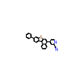 N#Cc1cc(-c2cc3sc4cc(-c5ccccc5)ccc4c3c3ccccc23)ccn1